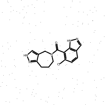 O=C(c1c(Cl)ccc2cn[nH]c12)N1CCCc2n[nH]cc2C1